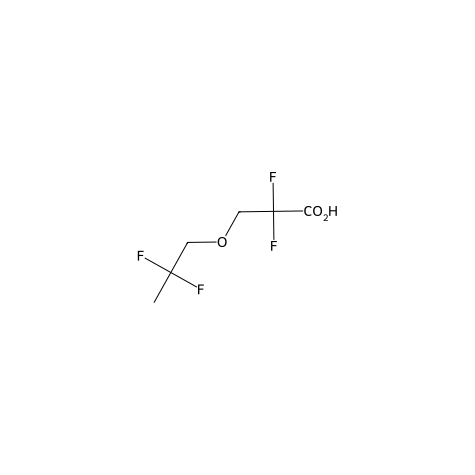 CC(F)(F)COCC(F)(F)C(=O)O